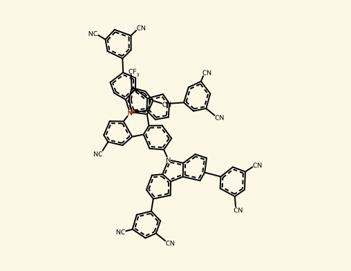 N#Cc1cc(C#N)cc(-c2ccc3c(c2)c2cc(-c4cc(C#N)cc(C#N)c4)ccc2n3-c2ccc(-c3ccc(C(F)(F)F)cc3C#N)c(-c3cc(C#N)ccc3-n3c4ccc(-c5cc(C#N)cc(C#N)c5)cc4c4cc(-c5cc(C#N)cc(C#N)c5)ccc43)c2)c1